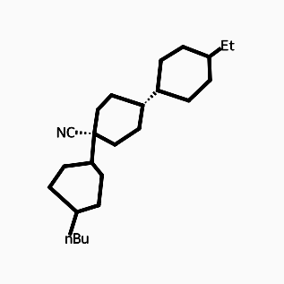 CCCCC1CCC([C@]2(C#N)CC[C@@H](C3CCC(CC)CC3)CC2)CC1